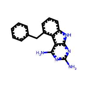 Nc1nc(N)c2c(n1)[nH]c1cccc(Cc3ccccc3)c12